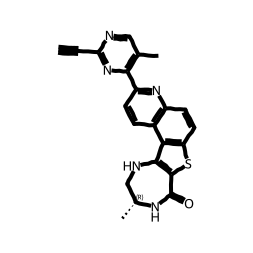 C#Cc1ncc(C)c(-c2ccc3c(ccc4sc5c(c43)NC[C@@H](C)NC5=O)n2)n1